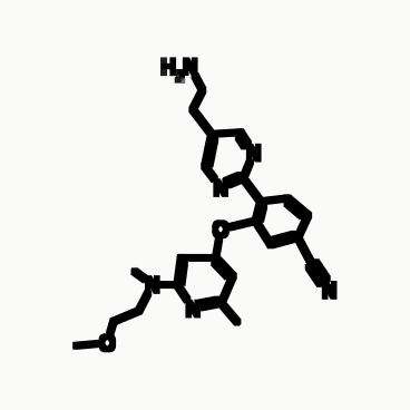 COCCN(C)c1cc(Oc2cc(C#N)ccc2-c2ncc(CCN)cn2)cc(C)n1